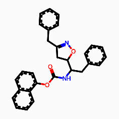 O=C(NC(Cc1ccccc1)C1CC(Cc2ccccc2)=NO1)Oc1cccc2ccccc12